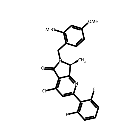 COc1ccc(CN2C(=O)c3c(Cl)cc(-c4c(F)cccc4F)nc3[C@@H]2C)c(OC)c1